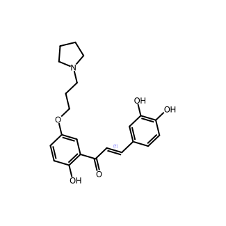 O=C(/C=C/c1ccc(O)c(O)c1)c1cc(OCCCN2CCCC2)ccc1O